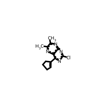 Cc1nc2nc(Cl)nc(C3=CCCC3)c2nc1C